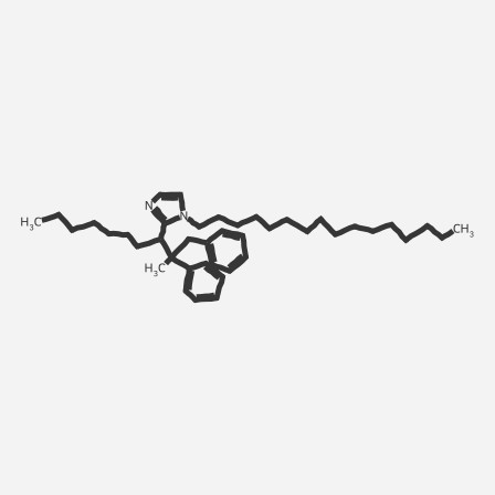 CCCCCCCCCCCCCCCCn1ccnc1C(CCCCCCC)C(C)(Cc1ccccc1)c1ccccc1